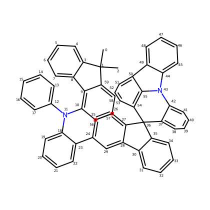 CC1(C)c2ccccc2-c2c(N(c3ccccc3)c3ccccc3-c3ccc4c(c3)-c3ccccc3C43c4ccccc4-n4c5ccccc5c5cccc3c54)cccc21